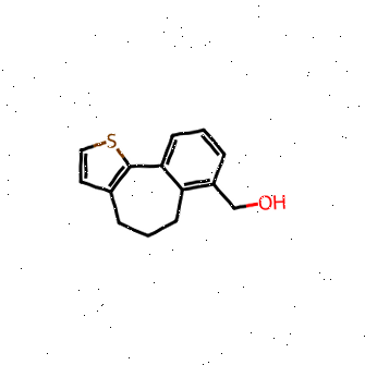 OCc1cccc2c1CCCc1ccsc1-2